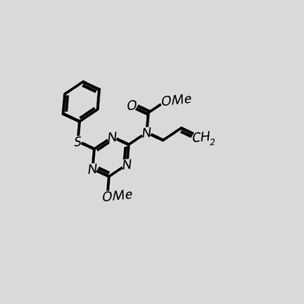 C=CCN(C(=O)OC)c1nc(OC)nc(Sc2ccccc2)n1